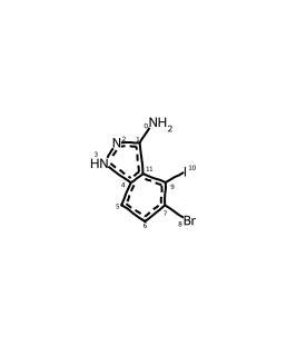 Nc1n[nH]c2ccc(Br)c(I)c12